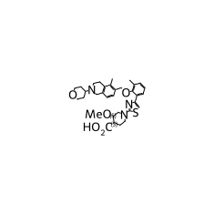 CO[C@@H]1CN(c2nc(-c3cccc(C)c3OCc3ccc4c(c3C)CCN(C3CCOCC3)C4)cs2)CC[C@@H]1C(=O)O